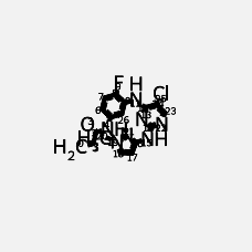 C=CC(=O)Nc1ccc(F)c(Nc2nc(Nc3ccn(C)n3)ncc2Cl)c1